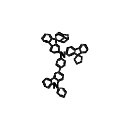 c1ccc(-n2c3ccccc3c3cc(-c4ccc(N(c5ccc6c(c5)C5(CCCC5)c5ccccc5-6)c5ccc6c(c5)C5(c7ccccc7-6)C6CC7CC(C6)CC5C7)cc4)ccc32)cc1